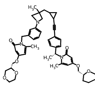 Cc1cc(OC[C@H]2COCCO2)cc(=O)n1Cc1cccc(N2CC(C)(CC3CC3C#Cc3ccc([C@@H](C)n4c(C)cc(OC[C@H]5CCCCO5)cc4=O)cc3)C2)c1